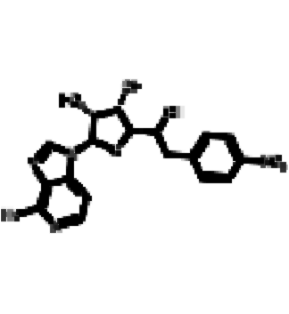 O=[N+]([O-])c1ccc(CC(O)[C@H]2O[C@@H](n3cnc4c(S)ncnc43)[C@H](O)[C@@H]2O)cc1